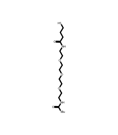 CC(C)(C)C(=O)NCCOCCOCCOCCNC(=O)CCCS